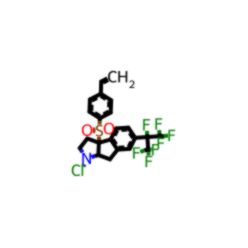 C=Cc1ccc(S(=O)(=O)C23CCN(Cl)C2Cc2cc(C(F)(C(F)(F)F)C(F)(F)F)ccc23)cc1